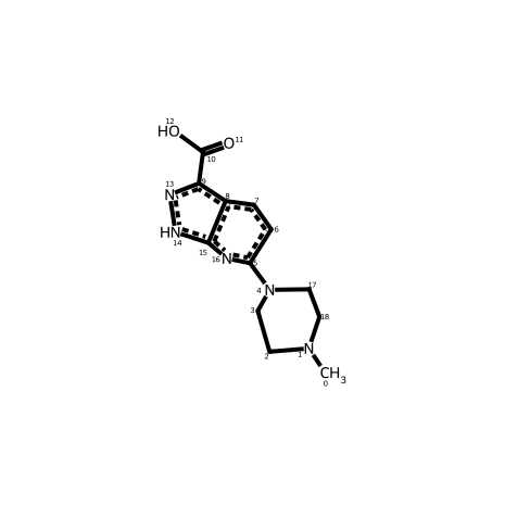 CN1CCN(c2ccc3c(C(=O)O)n[nH]c3n2)CC1